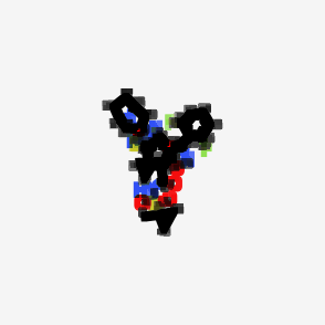 CC1(S(=O)(=O)NC(=O)c2ccc3nc(N4C5CCC4CC(NCc4c(-c6c(F)cccc6F)noc4C4CC4)C5)sc3c2)CC1